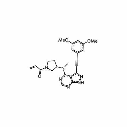 C=CC(=O)N1CCC(N(C)c2ncnc3[nH]nc(C#Cc4cc(OC)cc(OC)c4)c23)C1